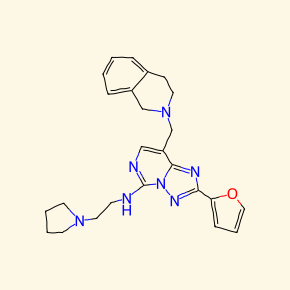 c1coc(-c2nc3c(CN4CCc5ccccc5C4)cnc(NCCN4CCCC4)n3n2)c1